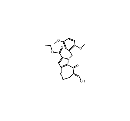 CCOC(=O)c1cc2c(n1Cc1cc(OC)ccc1OC)C(=O)C(=CO)CCC2